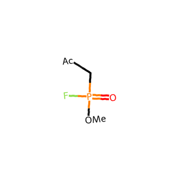 COP(=O)(F)CC(C)=O